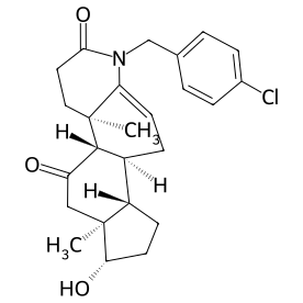 C[C@]12CC(=O)[C@H]3[C@@H](CC=C4N(Cc5ccc(Cl)cc5)C(=O)CC[C@@]43C)[C@@H]1CC[C@@H]2O